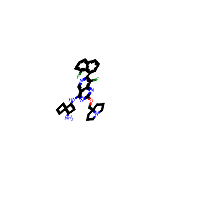 NC1CC(Nc2nc(OCC34CCCN3CCC4)nc3c(F)c(-c4cccc5cccc(F)c45)ncc23)C12CCC2